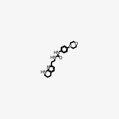 O=C(NCCc1ccc2c(n1)NCCC2)Nc1ccc(N2CCOCC2)cc1